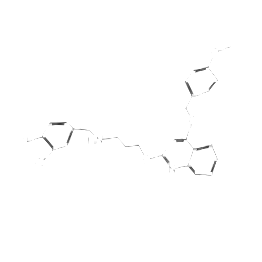 COc1ccc(COc2cc(OCCCNCc3ccc(Cl)c(Cl)c3)nc3ccccc23)cc1